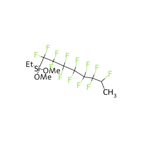 CC[Si](OC)(OC)C(F)(F)C(F)(F)C(F)(F)C(F)(F)C(F)(F)C(F)(F)C(C)F